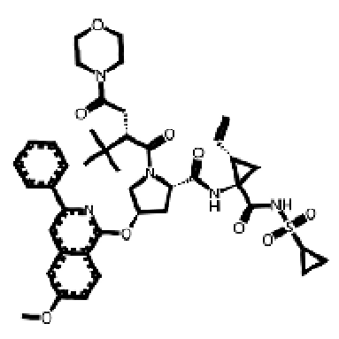 C=C[C@@H]1C[C@]1(NC(=O)[C@@H]1C[C@@H](Oc2nc(-c3ccccc3)cc3cc(OC)ccc23)CN1C(=O)[C@@H](CC(=O)N1CCOCC1)C(C)(C)C)C(=O)NS(=O)(=O)C1CC1